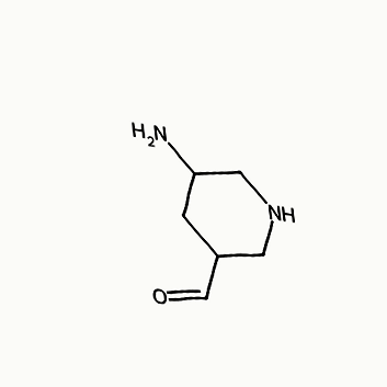 NC1CNCC(C=O)C1